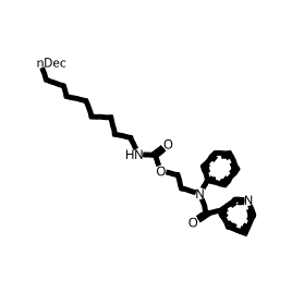 CCCCCCCCCCCCCCCCCCNC(=O)OCCN(C(=O)c1cccnc1)c1ccccc1